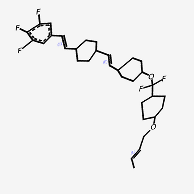 C/C=C/COC1CCC(C(F)(F)OC2CCC(/C=C/C3CCC(/C=C/c4cc(F)c(F)c(F)c4)CC3)CC2)CC1